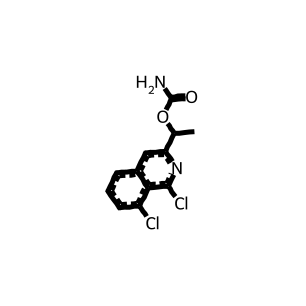 CC(OC(N)=O)c1cc2cccc(Cl)c2c(Cl)n1